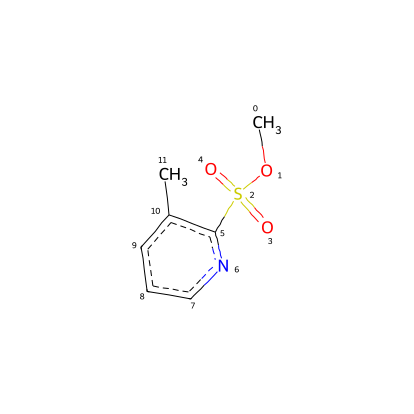 COS(=O)(=O)c1ncccc1C